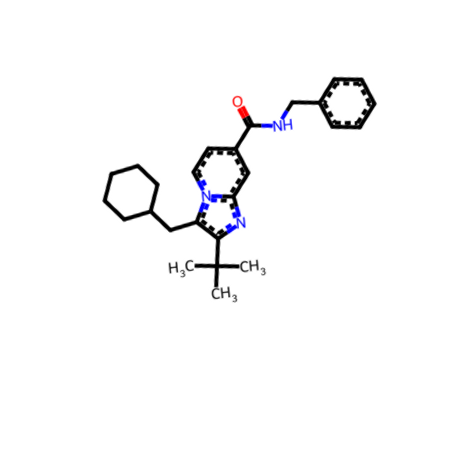 CC(C)(C)c1nc2cc(C(=O)NCc3ccccc3)ccn2c1CC1CCCCC1